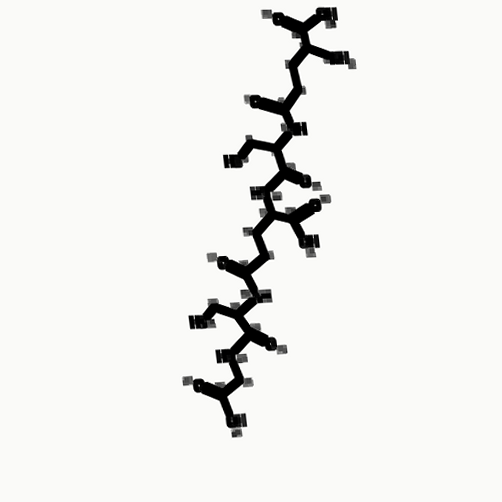 NC(CCC(=O)NC(CS)C(=O)NC(CCC(=O)NC(CS)C(=O)NCC(=O)O)C(=O)O)C(=O)O